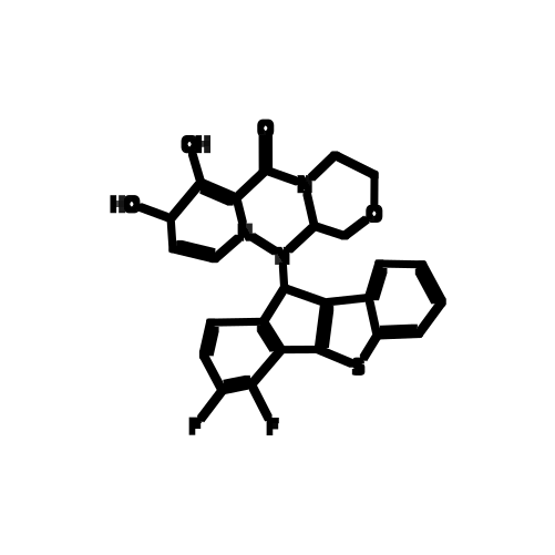 O=C1C2=C(O)C(O)C=CN2N(C2c3ccc(F)c(F)c3-c3sc4ccccc4c32)C2COCCN12